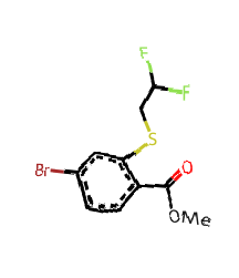 COC(=O)c1ccc(Br)cc1SCC(F)F